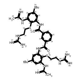 CC(=N)Nc1cc(C(C)(C)C)cc(NC(=O)c2cccc(C(=O)Nc3cc(C(C)(C)C)cc(NC(C)=N)c3SCCNC(=N)N)c2)c1SCCNC(=N)N